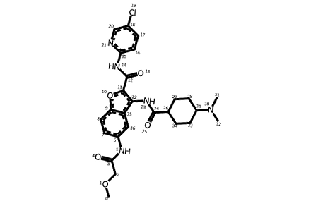 COCC(=O)Nc1ccc2oc(C(=O)Nc3ccc(Cl)cn3)c(NC(=O)C3CCC(N(C)C)CC3)c2c1